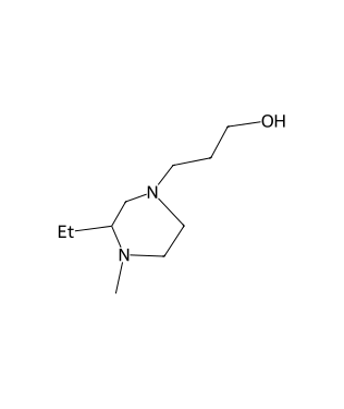 CCC1CN(CCCO)CCN1C